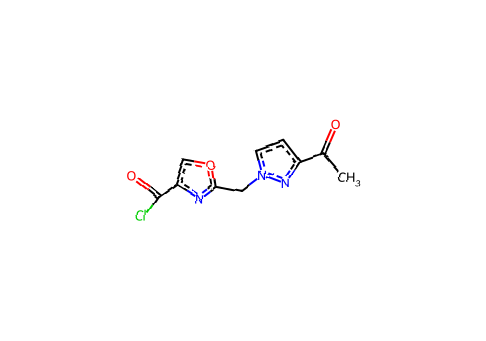 CC(=O)c1ccn(Cc2nc(C(=O)Cl)co2)n1